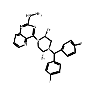 CC[C@H]1CN(C(c2ccc(F)cc2)c2ccc(F)cc2)[C@H](CC)CN1c1nc(NN)nc2cccnc12